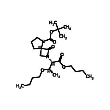 CCCCOC(=O)[C@H]([C@@H](C)OCCCC)N1C[C@]2(CCCN2C(=O)OC(C)(C)C)C1=O